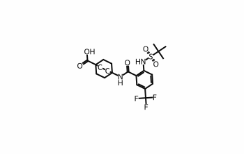 CC(C)(C)S(=O)(=O)Nc1ccc(C(F)(F)F)cc1C(=O)NC12CCC(C(=O)O)(CC1)CC2